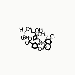 C=CCC(O)[C@@]1(C)CC[C@@H]1CN1C[C@@]2(CCCc3cc(Cl)ccc32)COc2ccc(C(=O)OC(C)(C)C)cc21